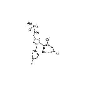 CC(C)(C)S(=O)(=O)NCc1cc(-c2ccc(Cl)cc2)c(-c2ccc(Cl)cc2Cl)s1